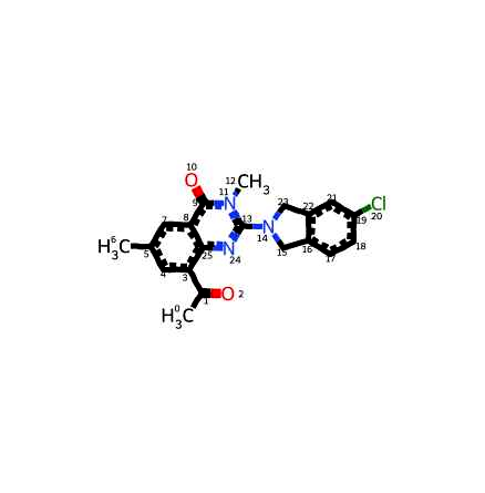 CC(=O)c1cc(C)cc2c(=O)n(C)c(N3Cc4ccc(Cl)cc4C3)nc12